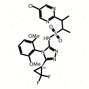 COc1cccc(OC)c1-n1c(NS(=O)(=O)C(C)C(C)c2ncc(Cl)cn2)nnc1[C@@H]1CC1(F)F